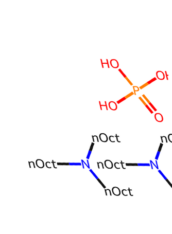 CCCCCCCCN(CCCCCCCC)CCCCCCCC.CCCCCCCCN(CCCCCCCC)CCCCCCCC.O=P(O)(O)O